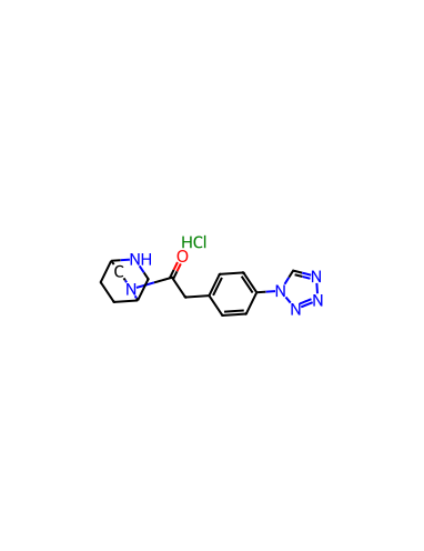 Cl.O=C(Cc1ccc(-n2cnnn2)cc1)N1CC2CCC1CN2